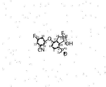 CP(C)(=O)c1ccc(Oc2cc(F)cc(C#N)c2)c2c1[C@@H](O)C(F)(F)C2